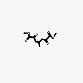 COC(=O)C(=O)CC(C)CC(=O)C(=O)OC